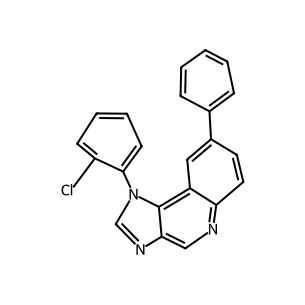 Clc1ccccc1-n1cnc2cnc3ccc(-c4ccccc4)cc3c21